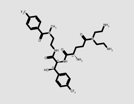 CN(CCNC(=O)[C@@H](NC(=O)[C@@H](N)CCC(=O)N(CCN)CCN)[C@H](O)c1ccc(C(F)(F)F)cc1)C(=O)c1ccc(C(F)(F)F)cc1